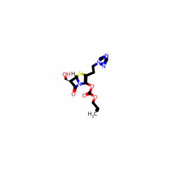 C=CCOC(=O)OC1=C(CCn2cncn2)S[C@@H]2[C@@H](CO)C(=O)N12